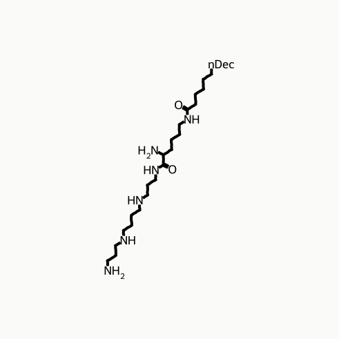 CCCCCCCCCCCCCCCC(=O)NCCCCC(N)C(=O)NCCCNCCCCNCCCN